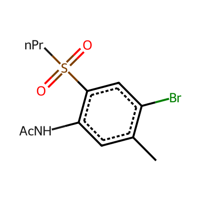 CCCS(=O)(=O)c1cc(Br)c(C)cc1NC(C)=O